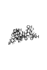 Cc1cnc2c(N3CCNC3=O)cc(C(=O)NC[C@](O)(c3cc4c(c(-c5ccc(F)cc5)n3)OC[C@]4(C)C(N)=O)C(F)(F)F)cc2c1